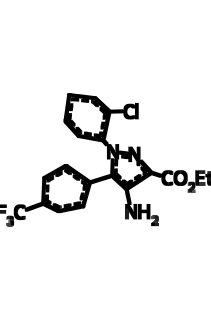 CCOC(=O)c1nn(-c2ccccc2Cl)c(-c2ccc(C(F)(F)F)cc2)c1N